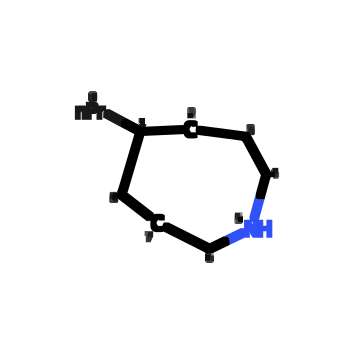 CCCC1CCCNCCC1